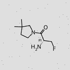 CC1(C)CCN(C(=O)[C@@H](N)CF)C1